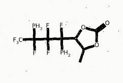 CC1OC(=O)OC1C(F)(P)C(F)(F)C(F)(P)C(F)(F)F